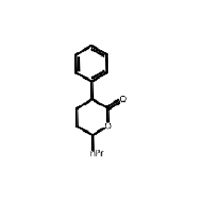 CCCC1CCC(c2ccccc2)C(=O)O1